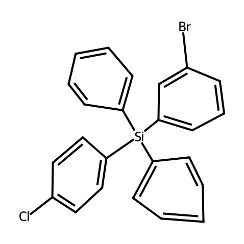 Clc1ccc([Si](c2ccccc2)(c2ccccc2)c2cccc(Br)c2)cc1